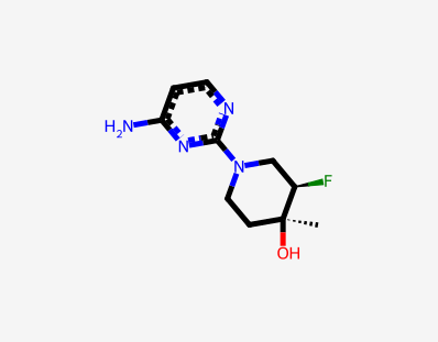 C[C@]1(O)CCN(c2nccc(N)n2)C[C@H]1F